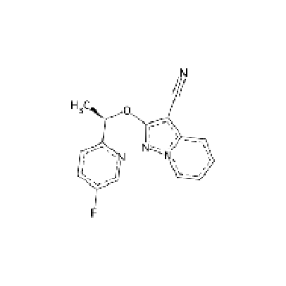 C[C@@H](Oc1nn2ccccc2c1C#N)c1ccc(F)cn1